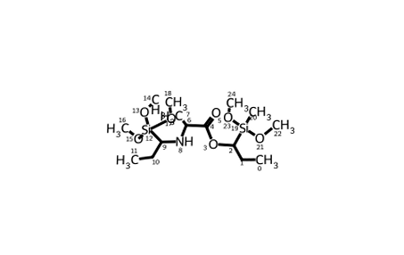 CCC(OC(=O)C(C)NC(CC)[Si](OC)(OC)OC)[Si](C)(OC)OC